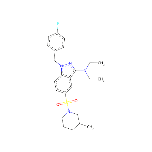 CCN(CC)c1nn(Cc2ccc(F)cc2)c2ccc(S(=O)(=O)N3CCCC(C)C3)cc12